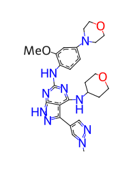 COc1cc(N2CCOCC2)ccc1Nc1nc(NC2CCOCC2)c2c(-c3cnn(C)c3)n[nH]c2n1